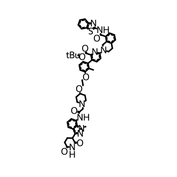 Cc1c(OCCOC2CCN(CC(=O)Nc3cccc4c(C5CCC(=O)NC5=O)nn(C)c34)CC2)cccc1-c1ccc(N2CCc3cccc(C(=O)Nc4nc5ccccc5s4)c3C2)nc1C(=O)OC(C)(C)C